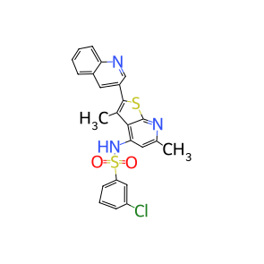 Cc1cc(NS(=O)(=O)c2cccc(Cl)c2)c2c(C)c(-c3cnc4ccccc4c3)sc2n1